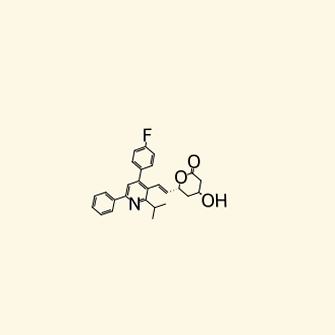 CC(C)c1nc(-c2ccccc2)cc(-c2ccc(F)cc2)c1/C=C/[C@H]1C[C@H](O)CC(=O)O1